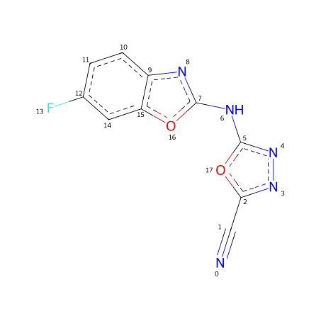 N#Cc1nnc(Nc2nc3ccc(F)cc3o2)o1